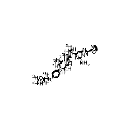 [2H]C([2H])([2H])OC([2H])([2H])C([2H])([2H])Oc1ccc(N2C([2H])([2H])C([2H])([2H])N(C([2H])([2H])C([2H])([2H])N(c3cc4nc(-c5ncco5)nn4c(N)n3)C([2H])([2H])[2H])C([2H])([2H])C2([2H])[2H])cc1